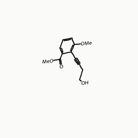 COC(=O)c1cccc(OC)c1C#CCCO